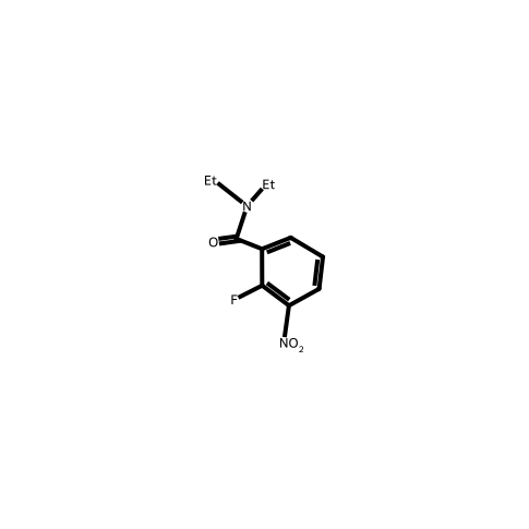 [CH2]CN(CC)C(=O)c1cccc([N+](=O)[O-])c1F